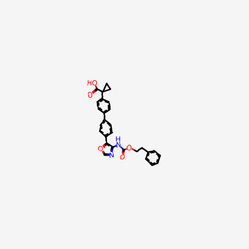 O=C(Nc1ncoc1-c1ccc(-c2ccc(C3(C(=O)O)CC3)cc2)cc1)OCCc1ccccc1